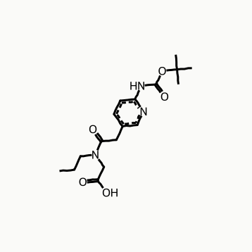 CCCN(CC(=O)O)C(=O)Cc1ccc(NC(=O)OC(C)(C)C)nc1